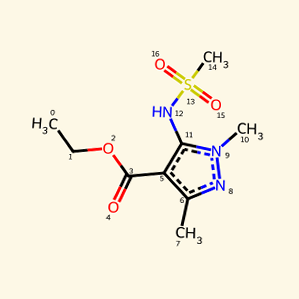 CCOC(=O)c1c(C)nn(C)c1NS(C)(=O)=O